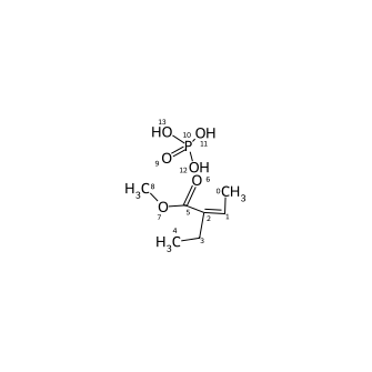 CC=C(CC)C(=O)OC.O=P(O)(O)O